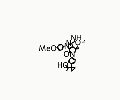 COc1ccc(-n2nc(C(N)=O)c3c2C(=O)N(c2ccc(C4(C(C)O)CC4)cc2)CC32CC2)cc1